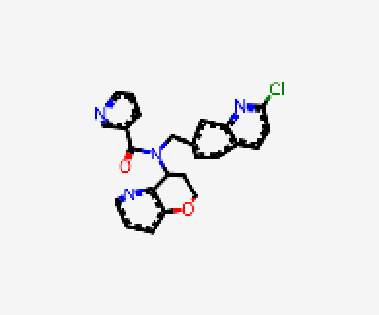 O=C(c1cccnc1)N(Cc1ccc2ccc(Cl)nc2c1)C1CCOc2cccnc21